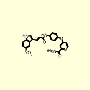 CNC(=O)c1cc(Oc2ccc(NC(=O)/C=C/c3c[nH]c4ccc([N+](=O)[O-])cc34)cc2)ccn1